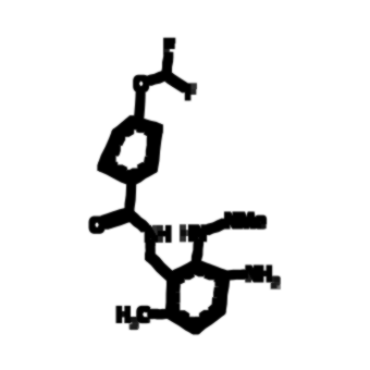 CNNc1c(N)ccc(C)c1CNC(=O)c1ccc(OC(F)F)cc1